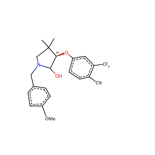 COc1ccc(CN2CC(C)(C)[C@@H](Oc3ccc(C#N)c(C(F)(F)F)c3)C2O)cc1